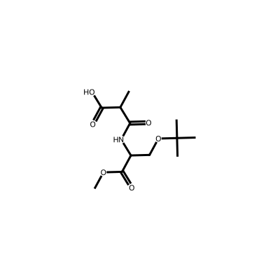 COC(=O)C(COC(C)(C)C)NC(=O)C(C)C(=O)O